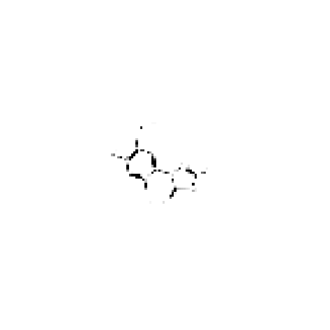 COc1cc(-n2nc(C)[nH]c2=O)c(F)cc1Cl